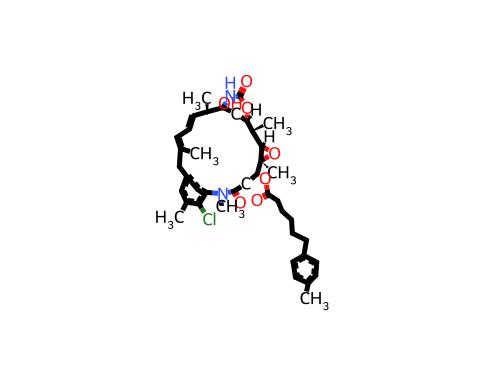 C/C1=C\C=C\[C@@H](C)[C@@]2(O)C[C@H](OC(=O)N2)[C@@H](C)[C@@H]2O[C@@]2(C)[C@@H](OC(=O)CCCCCc2ccc(C)cc2)CC(=O)N(C)c2cc(cc(C)c2Cl)C1